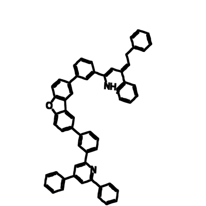 N/C(=C\C(=C/Cc1ccccc1)c1ccccc1)c1cccc(-c2ccc3oc4ccc(-c5cccc(-c6cc(-c7ccccc7)cc(-c7ccccc7)n6)c5)cc4c3c2)c1